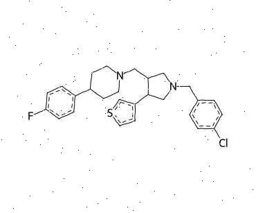 Fc1ccc(C2CCN(CC3CN(Cc4ccc(Cl)cc4)CC3c3ccsc3)CC2)cc1